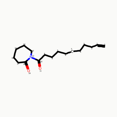 C=CCCCCCCCCC(=O)N1CCCCCC1=O